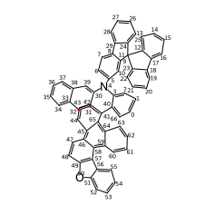 c1ccc(N(c2ccc3c(c2)C2(c4ccccc4-c4ccccc42)c2ccccc2-3)c2ccc3ccccc3c2)c(-c2cccc3c4ccc5oc6ccccc6c5c4c4ccccc4c23)c1